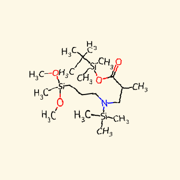 CO[Si](C)(CCCN(CC(C)C(=O)O[Si](C)(C)C(C)(C)C)[Si](C)(C)C)OC